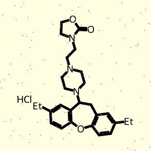 CCc1ccc2c(c1)CC(N1CCN(CCN3CCOC3=O)CC1)c1cc(CC)ccc1O2.Cl